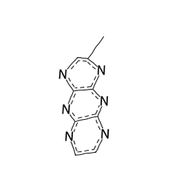 Cc1cnc2nc3nccnc3nc2n1